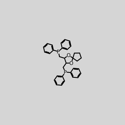 c1ccc(P(CC2OC3(CCCC3)OC2CP(c2ccccc2)c2ccccc2)c2ccccc2)cc1